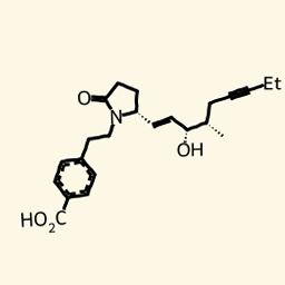 CCC#CC[C@H](C)[C@H](O)/C=C/[C@H]1CCC(=O)N1CCc1ccc(C(=O)O)cc1